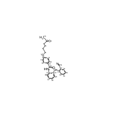 CC(=O)CCCCOc1ccc(C(=O)Nc2ccccc2Oc2ccccc2C#N)cc1